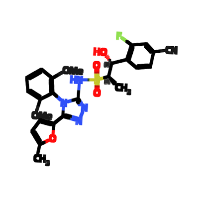 COc1cccc(OC)c1-n1c(NS(=O)(=O)[C@H](C)[C@H](O)c2ccc(C#N)cc2F)nnc1-c1ccc(C)o1